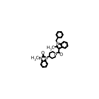 Cc1c(C(=O)N2CCC(n3c(=O)n(C)c4ccccc43)CC2)c2ccccc2n1Cc1ccccc1